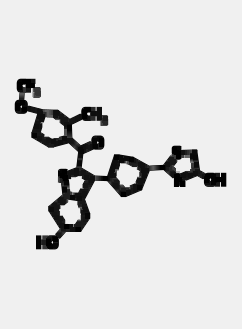 Cc1cc(OC(F)(F)F)ccc1C(=O)c1sc2cc(O)ccc2c1-c1ccc(-c2nc(O)cs2)cc1